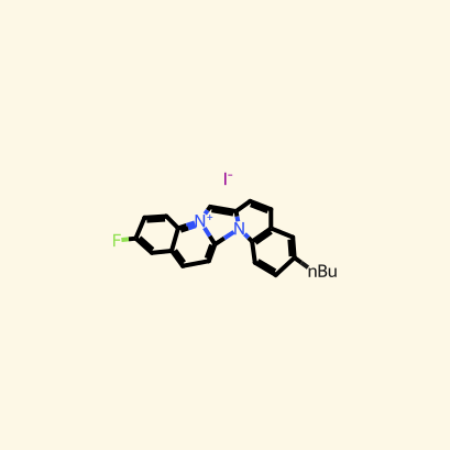 CCCCc1ccc2c(ccc3c[n+]4c5ccc(F)cc5ccc4n32)c1.[I-]